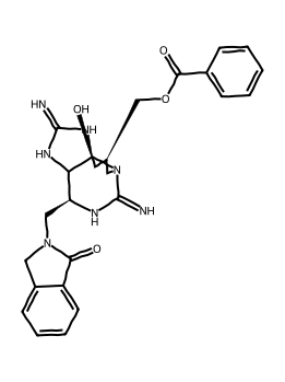 N=C1NC2[C@H](CN3Cc4ccccc4C3=O)NC(=N)N3C[C@H](COC(=O)c4ccccc4)[C@@H](O)[C@]23N1